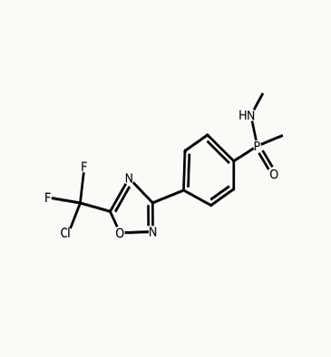 CNP(C)(=O)c1ccc(-c2noc(C(F)(F)Cl)n2)cc1